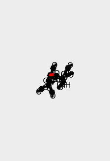 CCn1cc(C[N+]2(CC3=C(C(=O)OCc4ccc(OC)cc4)N4C(=O)[C@@H](NC(=O)C(=NOC(CC(=O)OC(C)(C)C)C(=O)OCc5ccc(OC)cc5)c5csc(NC(=O)OC(C)(C)C)n5)[C@H]4SC3)CCCC2)c(=O)c2cc(OCc3ccc(OC)cc3)c(OCc3ccc(OC)cc3)cc21